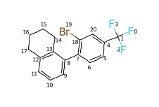 FC(F)(F)c1ccc(-c2cccc3c2CCCC3)c(Br)c1